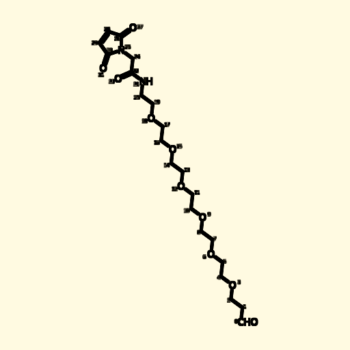 O=CCCOCCOCCOCCOCCOCCOCCNC(=O)CN1C(=O)C=CC1=O